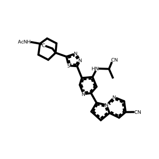 CC(=O)NC12CCC(c3nnc(-c4cnc(-c5ccc6cc(C#N)cnn56)cc4NC(C)C#N)s3)(CC1)CC2